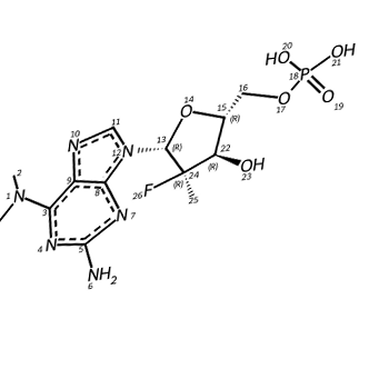 CN(C)c1nc(N)nc2c1ncn2[C@@H]1O[C@H](COP(=O)(O)O)[C@@H](O)[C@@]1(C)F